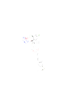 C[C@@H](SC1COC(C=CC=Cc2ccc(SC(F)(F)F)cc2)OC1)[C@](O)(Cn1cncn1)c1ccc(F)cc1F